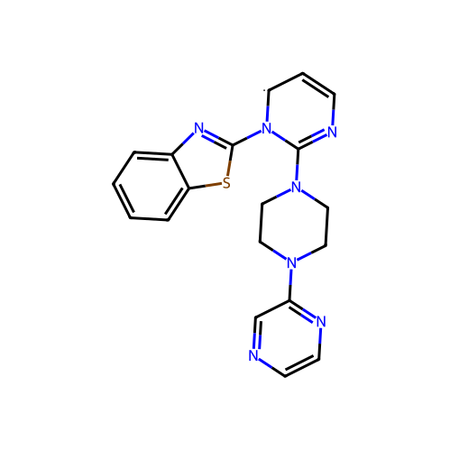 [CH]1C=CN=C(N2CCN(c3cnccn3)CC2)N1c1nc2ccccc2s1